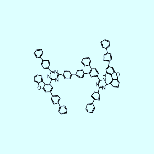 c1ccc(-c2ccc(C3=NC(c4cccc5oc6cc(-c7ccc(-c8ccccc8)cc7)ccc6c45)NC(c4ccc(-c5ccccc5)c(-c5ccc(-c6ccc(-c7nc(-c8ccc(-c9ccccc9)cc8)nc(-c8cc(-c9ccc(-c%10ccccc%10)cc9)cc9oc%10ccccc%10c89)n7)cc6)cc5)c4)=N3)cc2)cc1